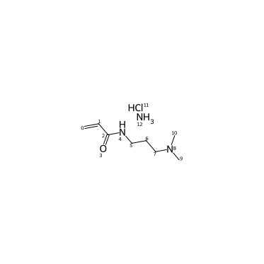 C=CC(=O)NCCCN(C)C.Cl.N